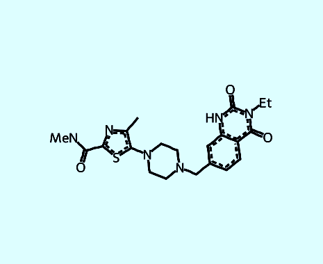 CCn1c(=O)[nH]c2cc(CN3CCN(c4sc(C(=O)NC)nc4C)CC3)ccc2c1=O